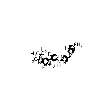 C=C(F)c1nc(C)n(C(C)C)c1/C=C(\C)c1cc(Nc2ncc(CN3C[C@@H]4CN(C)[C@@H]4C3)cn2)ncc1F